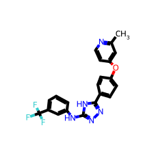 Cc1cc(Oc2ccc(-c3nnc(Nc4cccc(C(F)(F)F)c4)[nH]3)cc2)ccn1